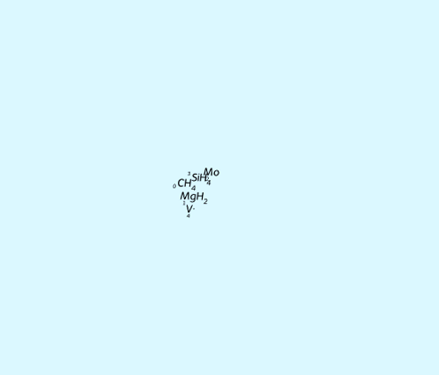 C.[MgH2].[Mo].[SiH4].[V]